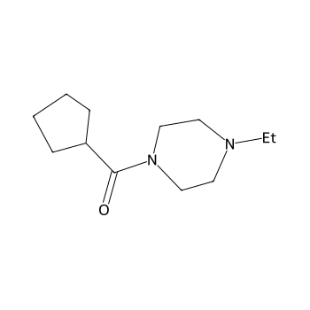 CCN1CCN(C(=O)C2CCCC2)CC1